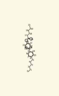 CCCCCCc1ccc(-c2ncc(OC(=O)CCCCC)cn2)cc1